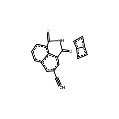 C#Cc1cc2c3c(cccc3c1)C(=O)NC2=O.c1cc2ccc1-2